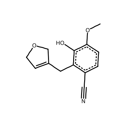 COc1ccc(C#N)c(CC2=CCOC2)c1O